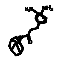 Nc1ccc(CCC(=O)NC23CC4CC(CC(C4)C2)C3)cc1N